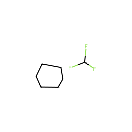 F[C](F)F.[CH]1CCCCC1